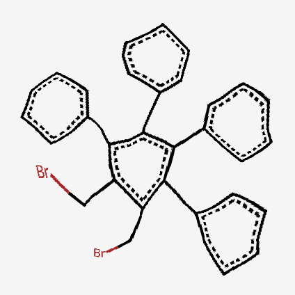 BrCc1c(CBr)c(-c2ccccc2)c(-c2ccccc2)c(-c2ccccc2)c1-c1ccccc1